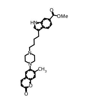 COC(=O)c1ccc2c(CCCCN3CCN(c4cc5ccc(=O)oc5cc4C)CC3)c[nH]c2c1